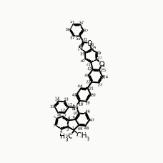 CC1(C)c2ccccc2-c2c(N(c3ccccc3)c3ccc(-c4ccc5oc6cc7oc(-c8ccccc8)nc7cc6c5c4)cc3)cccc21